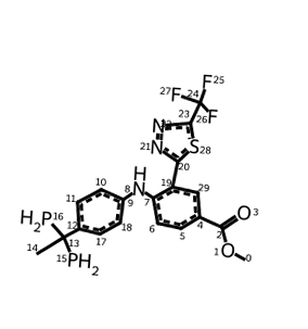 COC(=O)c1ccc(Nc2ccc(C(C)(P)P)cc2)c(-c2nnc(C(F)(F)F)s2)c1